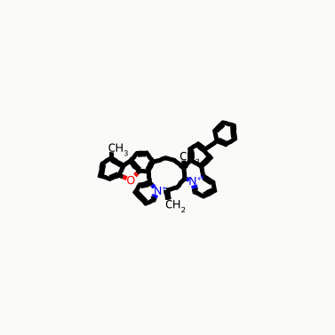 C=C1CC2[n+]3ccccc3-c3cc(-c4ccccc4)ccc3C2(C)CCc2ccc3c(oc4cccc(C)c43)c2-c2cccc[n+]21